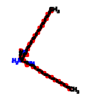 COCCOCCOCCOCCOCCOCCOCCOCCOCCOCCOCCNC(=O)CCOCC(N)(COCCC=O)COCCC(=O)NCCOCCOCCOCCOCCOCCOCCOCCOCCOCCOCCOC